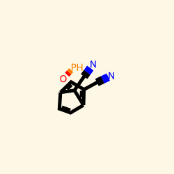 N#CC1=C2C=CC(=C1)C2C#N.O=P